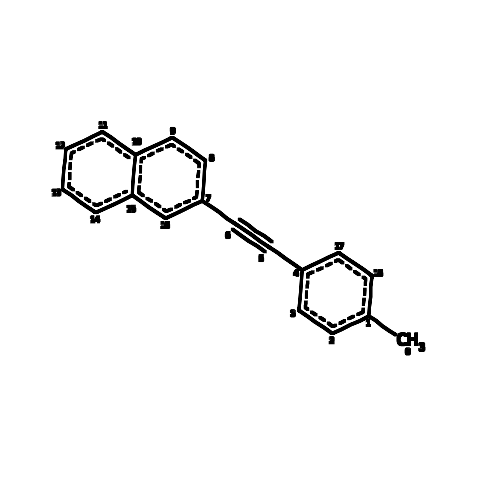 Cc1ccc(C#Cc2ccc3ccccc3c2)cc1